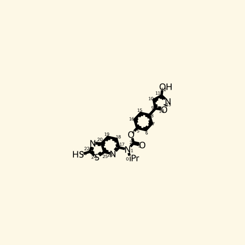 CC(C)N(C(=O)Oc1ccc(-c2cc(O)no2)cc1)c1ccc2nc(S)sc2n1